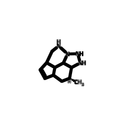 C[C@@H]1CC2C=CC3CNN4NNC1C4C32